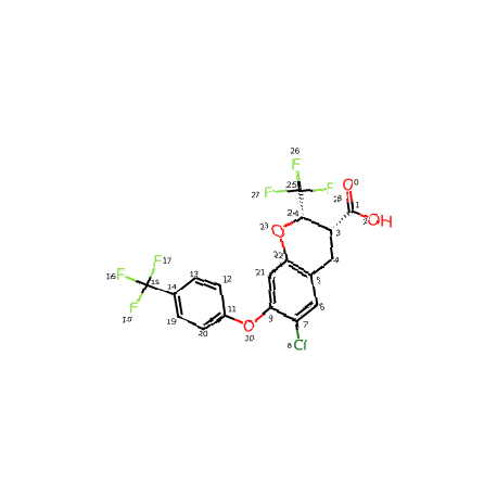 O=C(O)[C@@H]1Cc2cc(Cl)c(Oc3ccc(C(F)(F)F)cc3)cc2O[C@@H]1C(F)(F)F